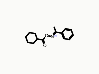 C/C(=N\OC(=O)C1CCCCC1)c1ccccc1